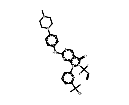 C=CC(F)(F)n1c(=O)c2cnc(Nc3ccc(N4CCN(C)CC4)cc3)nc2n1-c1cccc(C(C)(C)O)n1